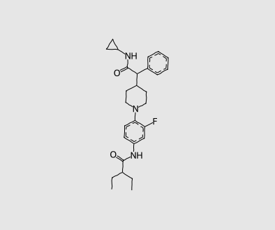 CCC(CC)C(=O)Nc1ccc(N2CCC(C(C(=O)NC3CC3)c3ccccc3)CC2)c(F)c1